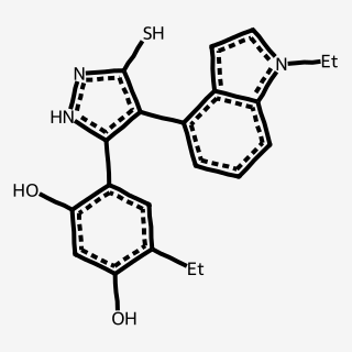 CCc1cc(-c2[nH]nc(S)c2-c2cccc3c2ccn3CC)c(O)cc1O